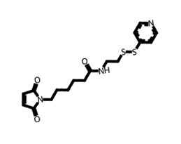 O=C(CCCCCN1C(=O)C=CC1=O)NCCSSc1ccncc1